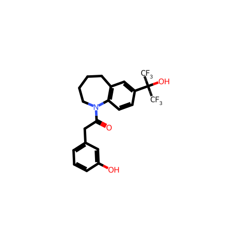 O=C(Cc1cccc(O)c1)N1CCCCc2cc(C(O)(C(F)(F)F)C(F)(F)F)ccc21